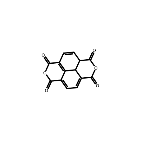 O=C1OC(=O)C2=C3C1=CC=C1C(=O)OC(=O)C(C=C2)C13